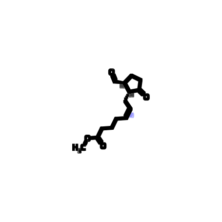 COC(=O)CCC/C=C\C[C@H]1C(=O)CC[C@@H]1C=O